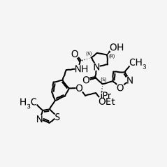 [CH2]COCCOc1cc(-c2scnc2C)ccc1CNC(=O)[C@@H]1C[C@@H](O)CN1C(=O)[C@H](c1cc(C)no1)C(C)C